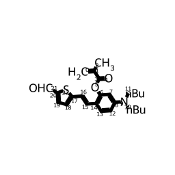 C=C(C)C(=O)Oc1cc(N(CCCC)CCCC)ccc1/C=C/c1ccc(C=O)s1